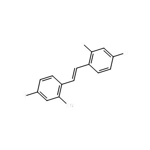 N#Cc1cc(Cl)ccc1/C=C/c1ccc(Cl)cc1F